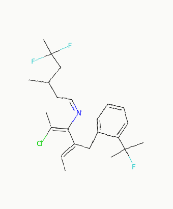 C/C=C(Cc1ccccc1C(C)(C)F)/C(/N=C\CC(C)CC(C)(F)F)=C(/C)Cl